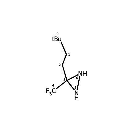 CC(C)(C)CCC1(C(F)(F)F)NN1